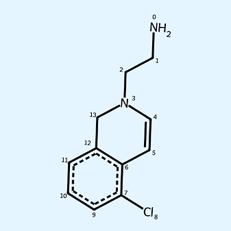 NCCN1C=Cc2c(Cl)cccc2C1